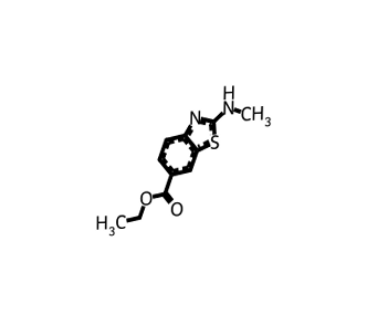 CCOC(=O)c1ccc2nc(NC)sc2c1